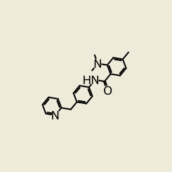 Cc1ccc(C(=O)Nc2ccc(Cc3ccccn3)cc2)c(N(C)C)c1